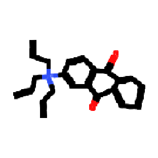 C=CC[N+](CC=C)(CC=C)c1ccc2c(c1)C(=O)c1ccccc1C2=O